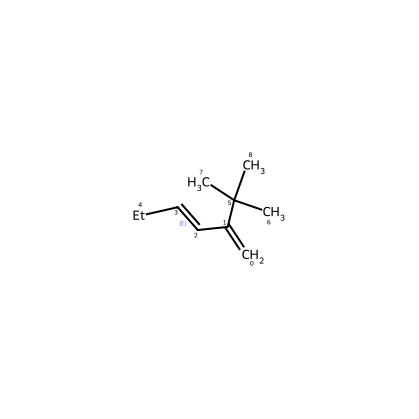 C=C(/C=C/CC)C(C)(C)C